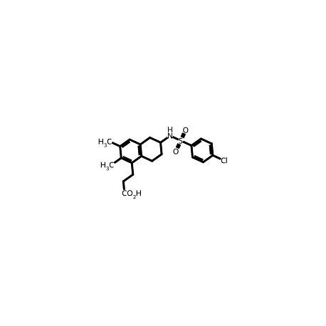 Cc1cc2c(c(CCC(=O)O)c1C)CCC(NS(=O)(=O)c1ccc(Cl)cc1)C2